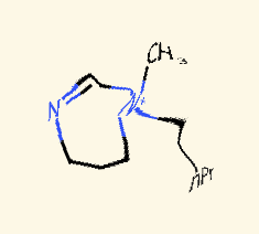 CCCC[N+]1(C)C=NCC1